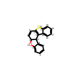 C1=CC2Oc3ccccc3C2c2c1sc1ccccc21